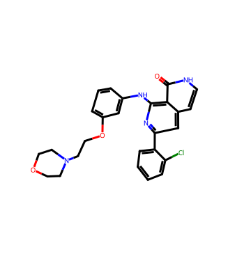 O=c1[nH]ccc2cc(-c3ccccc3Cl)nc(Nc3cccc(OCCN4CCOCC4)c3)c12